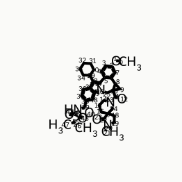 COc1ccc2c(c1)C1CC1(C(=O)N1CCCC3(CCN(C)C3=O)C1)Cn1c-2c(C2CCCCC2)c2ccc(C(=O)NS(=O)(=O)C(C)C)cc21